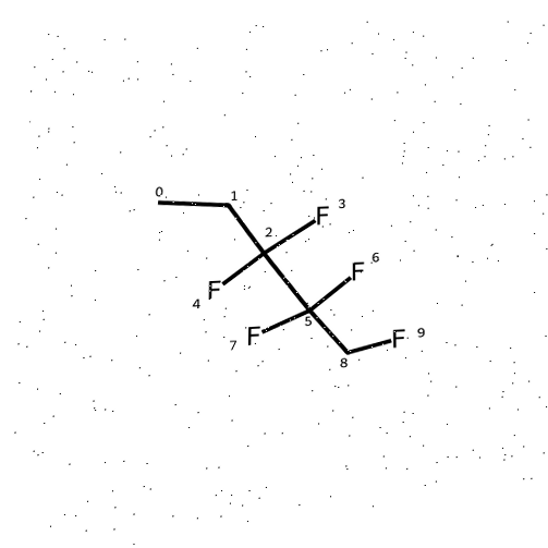 CCC(F)(F)C(F)(F)CF